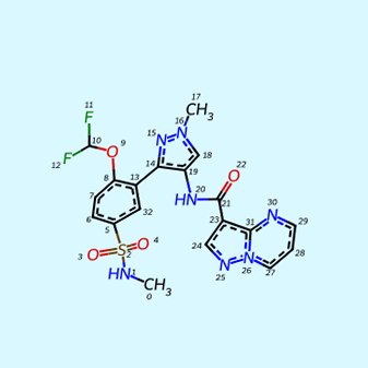 CNS(=O)(=O)c1ccc(OC(F)F)c(-c2nn(C)cc2NC(=O)c2cnn3cccnc23)c1